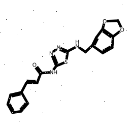 O=C(C=Cc1ccccc1)Nc1nnc(NCc2ccc3c(c2)OCO3)s1